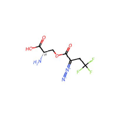 [N-]=[N+]=C(CC(F)(F)F)C(=O)OC[C@H](N)C(=O)O